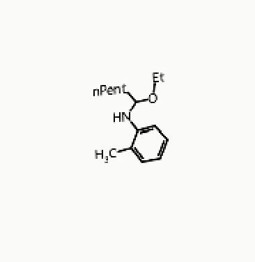 CCCCCC(Nc1ccccc1C)OCC